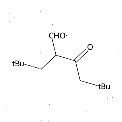 CC(C)(C)CC(=O)C([C]=O)CC(C)(C)C